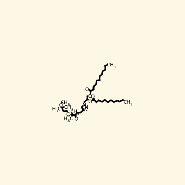 CCCCCCCCCCCC(=O)OCC(Cn1cc(CCC(=O)C(C)(C)OCCC(C)(C)OC)nn1)OC(=O)CCCCCCCCCCC